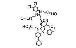 Cc1ccc(CC2(Cc3ccccc3[N+](=O)[O-])C(/C=C/C(C#N)=C/C=C3N(CCOC=O)c4cc(Cl)c(Cl)cc4N3CCOC=O)=[N+](CCC(=O)O)c3ccc(-c4ccccc4)cc32)cc1